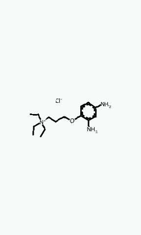 CC[N+](CC)(CC)CCCOc1ccc(N)cc1N.[Cl-]